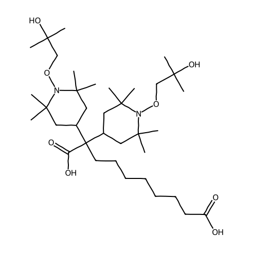 CC(C)(O)CON1C(C)(C)CC(C(CCCCCCCC(=O)O)(C(=O)O)C2CC(C)(C)N(OCC(C)(C)O)C(C)(C)C2)CC1(C)C